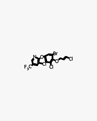 FC(F)(F)c1cnc(Oc2cc(Cl)c(OCC=CCl)c(Br)c2)c(Cl)c1